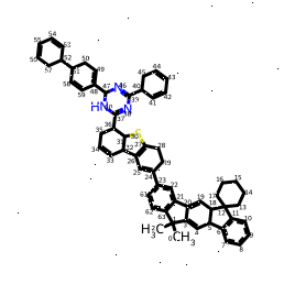 CC1(C)C2=CC3c4ccccc4C4(CCCCC4)C3C=C2c2cc(C3=CC4=C(CC3)SC3C4C=CCC3C3=NC(C4C=CC=CC4)=NC(C4=CCC(C5C=CC=CC5)C=C4)N3)ccc21